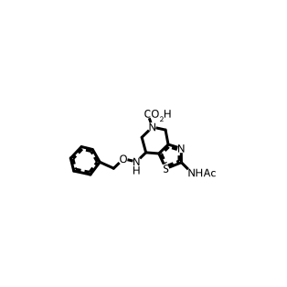 CC(=O)Nc1nc2c(s1)C(NOCc1ccccc1)CN(C(=O)O)C2